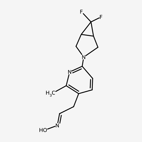 Cc1nc(N2CC3C(C2)C3(F)F)ccc1CC=NO